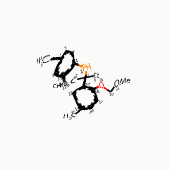 CCC(C)(Pc1ccc(C)cc1C=O)c1cc(C)ccc1OCOC